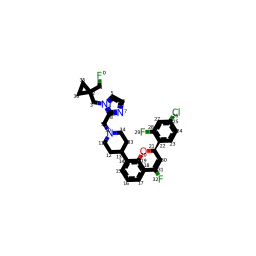 FCC1(Cn2ccnc2CN2CCC(c3cccc4c3O[C@@H](c3ccc(Cl)cc3F)C=C4F)CC2)CC1